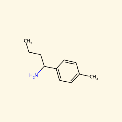 CCCC(N)c1ccc(C)cc1